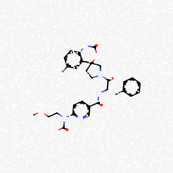 COCCN(C(=O)O)c1ccc(C(=O)N[C@@H](Cc2ccccc2)C(=O)N2CCC3(C2)OC(=O)Nc2ccc(Cl)cc23)cn1